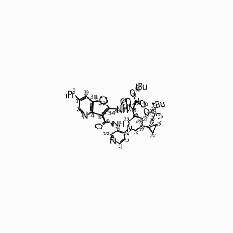 CC(C)c1cnc2c(C(=O)Nc3cnccc3N3C[C@H](C4CC4)[C@@H](O[Si](C)(C)C(C)(C)C)[C@H](NC(=O)OC(C)(C)C)C3)c(NC(=O)O)oc2c1